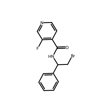 O=C(NC(CBr)c1ccccc1)c1ccncc1F